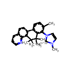 Cc1ccc2c(c1N1C=CN(C)[C@@H]1C)C(C)(C)C(C)(C)c1c-2ccc2cccnc12